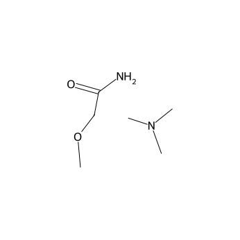 CN(C)C.COCC(N)=O